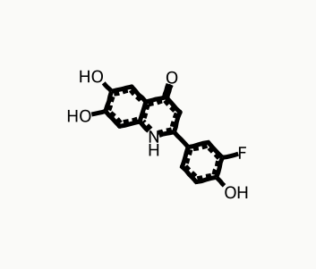 O=c1cc(-c2ccc(O)c(F)c2)[nH]c2cc(O)c(O)cc12